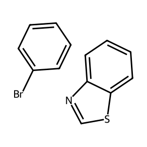 Brc1ccccc1.c1ccc2scnc2c1